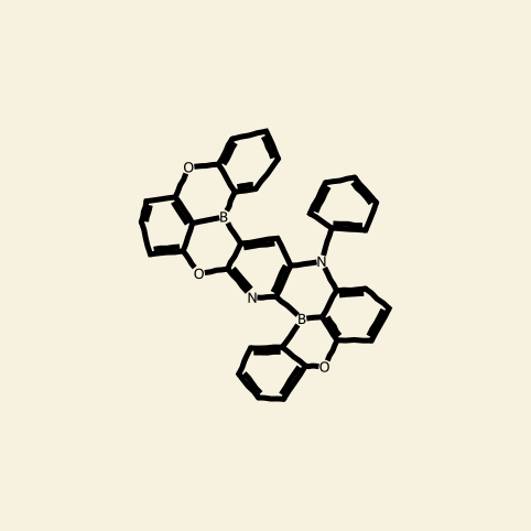 c1ccc(N2c3cc4c(nc3B3c5ccccc5Oc5cccc2c53)Oc2cccc3c2B4c2ccccc2O3)cc1